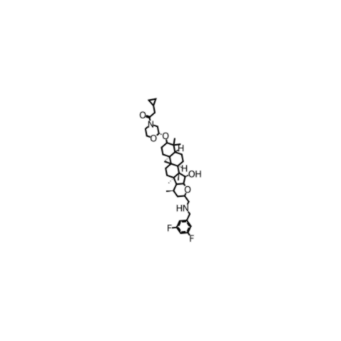 C[C@@H]1CC(CNCc2cc(F)cc(F)c2)OC2C1[C@@]1(C)CCC34C[C@@]35CCC(O[C@H]3CN(C(=O)CC6CC6)CCO3)C(C)(C)[C@@H]5CC[C@H]4[C@]1(C)[C@H]2O